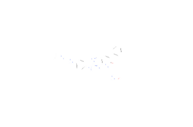 CCC(=O)N1CCCC(n2c(=O)c(-c3cccc(Cl)c3)cc3cnc(Nc4ccc(N5CCN(C)CC5)c(C)c4)nc32)C1